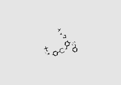 CC(C)(C)OC(=O)N1CC(Oc2ccc(C(=O)N3CCC(c4ccc(Oc5nnc(C(C)(C)C)s5)cc4)CC3)cc2NS(=O)(=O)Cc2ccccc2)C1